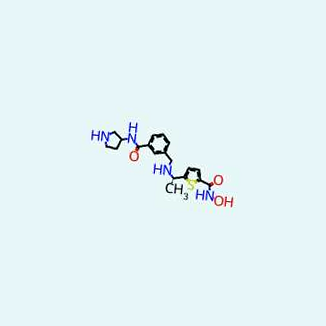 C[C@H](NCc1cccc(C(=O)NC2CCNC2)c1)c1ccc(C(=O)NO)s1